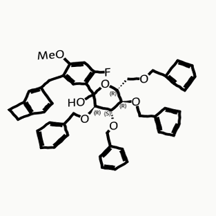 COc1cc(F)c(C2(O)O[C@H](COCc3ccccc3)[C@@H](OCc3ccccc3)[C@H](OCc3ccccc3)[C@H]2OCc2ccccc2)cc1Cc1ccc2c(c1)CC2